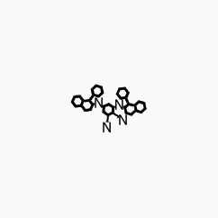 N#Cc1cc(-n2c3ccccc3c3c4ccccc4ccc32)cc(-n2c3ccccc3c3c4ccccc4ccc32)c1C#N